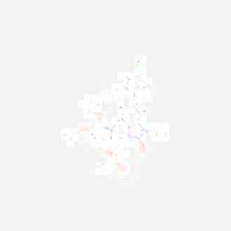 CCOc1nc([C@@H](CS(C)(=O)=O)n2c(=O)n(C)c3cc(-c4ccc(F)cc4C)ccc32)ccc1OC